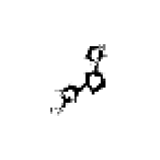 Nc1nc(-c2cccc(-n3ccnc3)c2)cs1